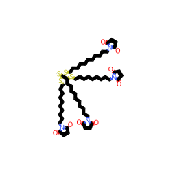 O=C1C=CC(=O)N1CCCCCCCCCCCSC([S])(SCCCCCCCCCCN1C(=O)C=CC1=O)C(CCCCCCCCCCN1C(=O)C=CC1=O)SCCCCCCCCCN1C(=O)C=CC1=O